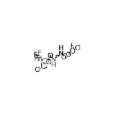 O=C(COc1ccc(Cl)c(F)c1)NC12CC(NC(=O)C3CC(NCC(F)(F)F)c4cc(Cl)ccc4O3)(C1)C2